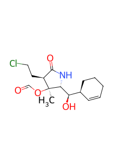 C[C@@]1(OC=O)[C@@H]([C@H](O)[C@@H]2C=CCCC2)NC(=O)[C@@H]1CCCl